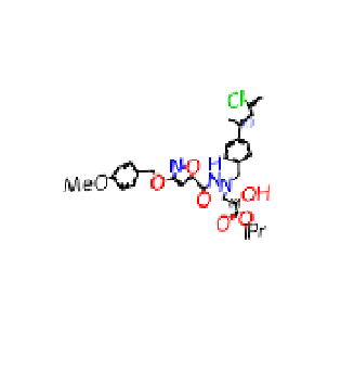 C=C(Cl)/C=C(\C)c1ccc(CN(C[C@@H](O)C(=O)OC(C)C)NC(=O)c2cc(OCc3ccc(OC)cc3)no2)cc1